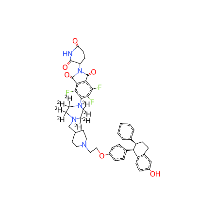 [2H]C1([2H])N(CC2CCN(CCOc3ccc([C@@H]4c5ccc(O)cc5CC[C@@H]4c4ccccc4)cc3)CC2)C([2H])([2H])C([2H])([2H])N(c2c(F)c(F)c3c(c2F)C(=O)N(C2CCC(=O)NC2=O)C3=O)C1([2H])[2H]